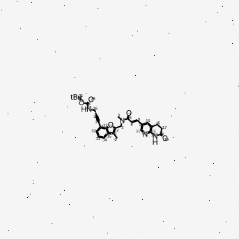 Cc1c(CN(C)C(=O)/C=C/c2cnc3c(c2)CCC(=O)N3)oc2c(C#CCNC(=O)OC(C)(C)C)cccc12